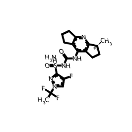 C[C@@H]1CCc2c1nc1c(c2NC(=O)N[SH](N)(=O)c2nn(C(C)(F)F)cc2F)CCC1